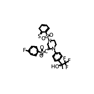 C[C@@](O)(c1ccc(N2CCN(S(=O)(=O)C3=CC=CCC3=S)C[C@@H]2CS(=O)(=O)c2ccc(F)cc2)cc1)C(F)(F)F